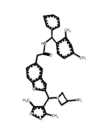 Cc1ccc(C(NC(=O)Cc2ccc3oc(C(c4c(C)noc4C)N4CC(N)C4)cc3c2)c2ccccc2)c(C)c1